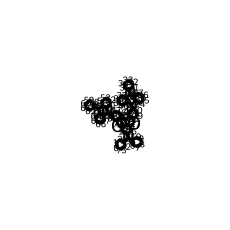 c1ccc(N(c2ccccc2)c2cc3c4c(c2)Oc2ccc(N5c6ccccc6N(c6ccccc6)c6ccccc65)cc2B4c2ccc(N4c5ccccc5N(c5ccccc5)c5ccccc54)cc2O3)cc1